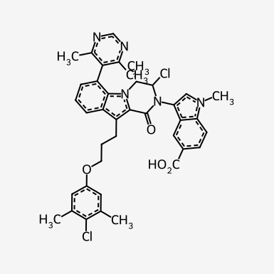 Cc1cc(OCCCc2c3n(c4c(-c5c(C)ncnc5C)cccc24)[C@H](C)C(Cl)N(c2cn(C)c4ccc(C(=O)O)cc24)C3=O)cc(C)c1Cl